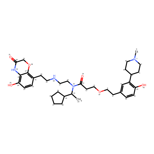 CCN1CCC(c2cc(CCOCCC(=O)N(CCNCCc3ccc(O)c4c3OCC(=O)N4)C(C)C3CCCC3)ccc2O)CC1